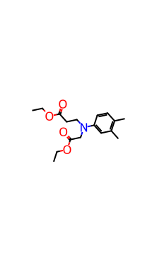 CCOC(=O)CCN(CC(=O)OCC)c1ccc(C)c(C)c1